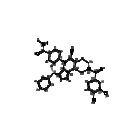 CNC(=O)c1ccc(-n2c(=O)c3c(n4ncc([C@@H](C)c5ccccc5)c24)CN(C(=O)c2ccc(Br)c(Cl)c2)CC3)cc1